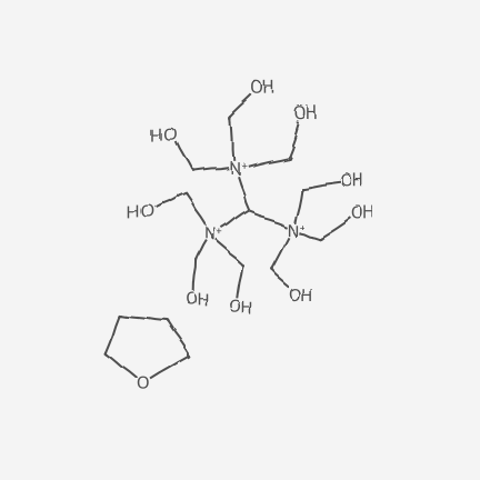 C1CCOC1.OC[N+](CO)(CO)C([N+](CO)(CO)CO)[N+](CO)(CO)CO